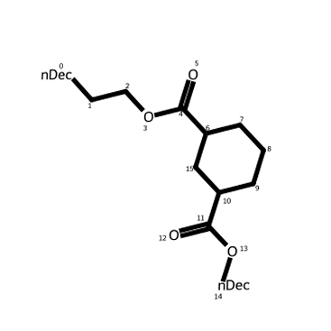 CCCCCCCCCCCCOC(=O)C1CCCC(C(=O)OCCCCCCCCCC)C1